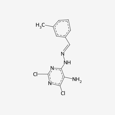 Cc1cccc(C=NNc2nc(Cl)nc(Cl)c2N)c1